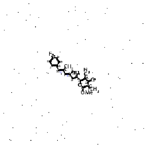 COc1oc([C@H]2C/C(=C/C(C)=C/c3ccc(F)cc3)CO2)c(C)c(=O)c1C